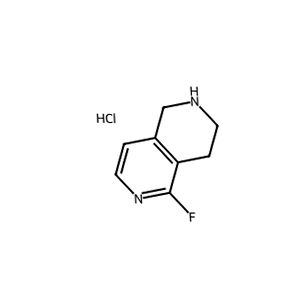 Cl.Fc1nccc2c1CCNC2